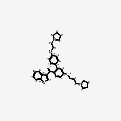 O=C(c1ccc(OCCCN2CCCC2)cc1-c1ccc(OCCN2CCCC2)cc1)c1csc2ccccc12